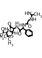 CC(=N)NCC(=O)NC(C(=O)NC1C(=O)N2[C@@H]1SC(C)(C)[C@@H]2C(=O)O)c1ccccc1